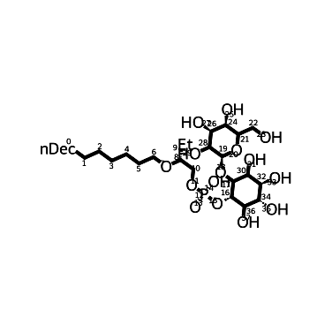 CCCCCCCCCCCCCCCCO[C@H](CC)COP(=O)(O)O[C@@H]1C(O[C@@H]2OC(CO)[C@H](O)[C@H](O)C2O)C(O)[C@@H](O)[C@H](O)C1O